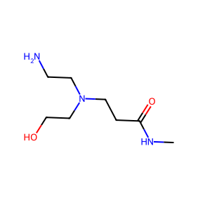 CNC(=O)CCN(CCN)CCO